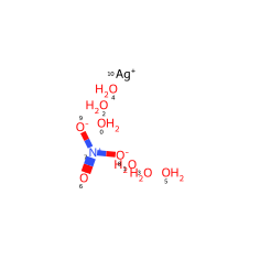 O.O.O.O.O.O.O=[N+]([O-])[O-].[Ag+]